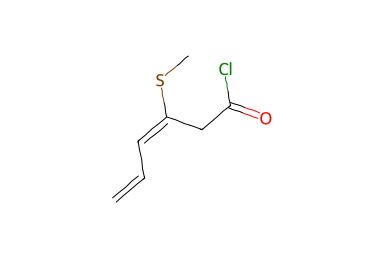 C=C/C=C(\CC(=O)Cl)SC